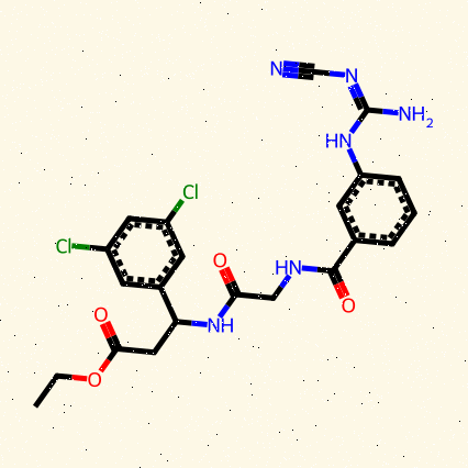 CCOC(=O)CC(NC(=O)CNC(=O)c1cccc(N/C(N)=N\C#N)c1)c1cc(Cl)cc(Cl)c1